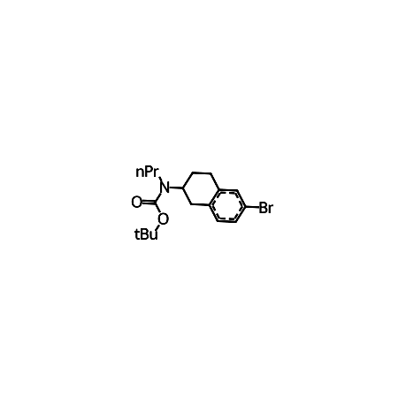 CCCN(C(=O)OC(C)(C)C)C1CCc2cc(Br)ccc2C1